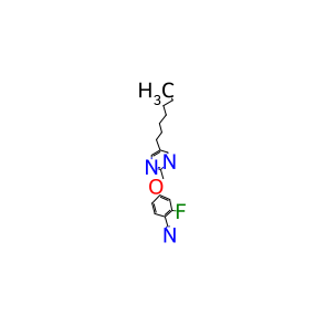 CCCCCCCc1cnc(COc2ccc(C#N)c(F)c2)nc1